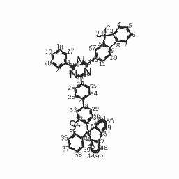 CC1(C)c2ccccc2-c2ccc(-c3nc(-c4ccccc4)nc(-c4ccc(-c5ccc6c(c5)Sc5ccccc5C65c6ccccc6-c6ccccc65)cc4)n3)cc21